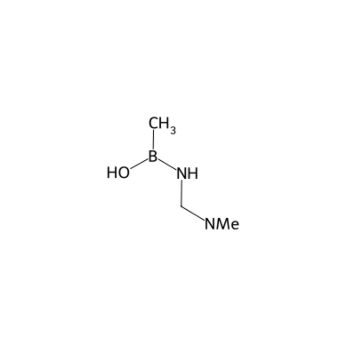 CNCNB(C)O